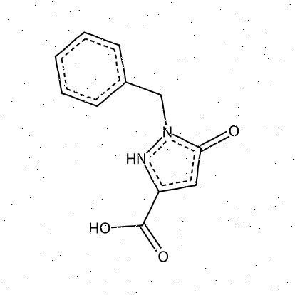 O=C(O)c1cc(=O)n(Cc2ccccc2)[nH]1